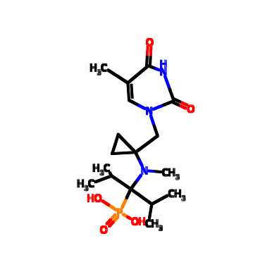 Cc1cn(CC2(N(C)C(C(C)C)(C(C)C)P(=O)(O)O)CC2)c(=O)[nH]c1=O